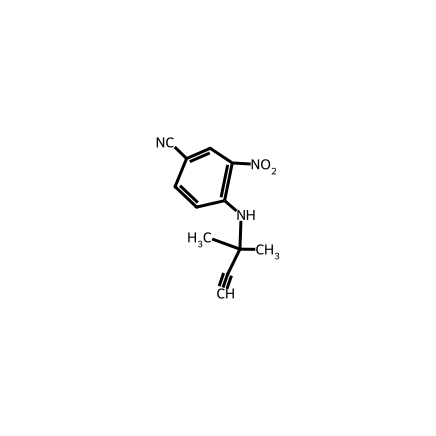 C#CC(C)(C)Nc1ccc(C#N)cc1[N+](=O)[O-]